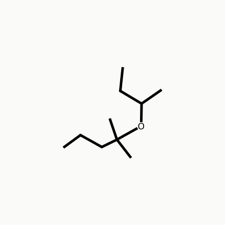 CCCC(C)(C)OC(C)CC